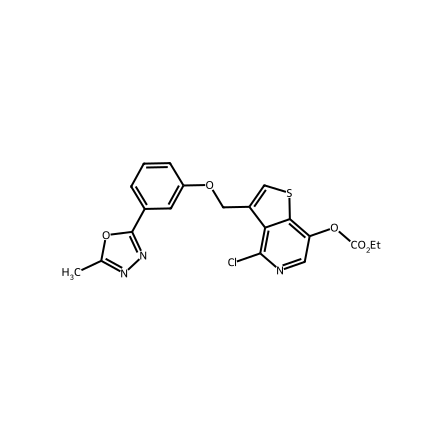 CCOC(=O)Oc1cnc(Cl)c2c(COc3cccc(-c4nnc(C)o4)c3)csc12